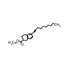 CCCCCCCCC#Cc1ccc2c(c1)CCC(C(=O)OCC)C2